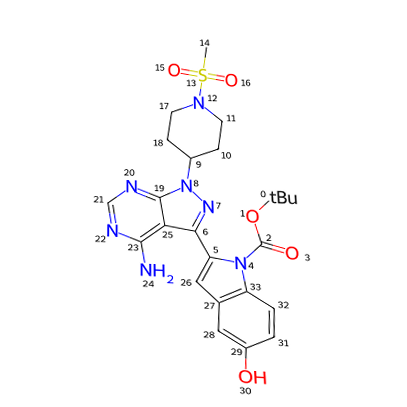 CC(C)(C)OC(=O)n1c(-c2nn(C3CCN(S(C)(=O)=O)CC3)c3ncnc(N)c23)cc2cc(O)ccc21